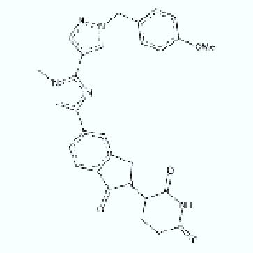 COc1ccc(Cn2cc(-c3nc(-c4ccc5c(c4)CN(C4CCC(=O)NC4=O)C5=O)cn3C)cn2)cc1